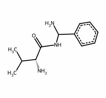 CC(C)[C@@H](N)C(=O)NC(N)c1ccccc1